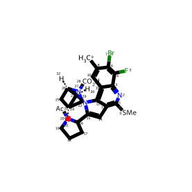 CSc1nc2c(F)c(Br)c(C)cc2c2c1cc(C1CCCN1C(C)=O)n2[C@H]1[C@@H]2C[C@H]1N(C(=O)O)C2